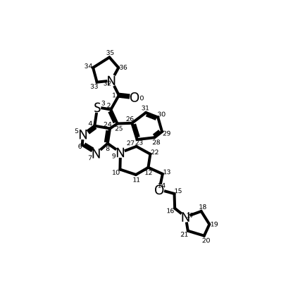 O=C(c1sc2ncnc(N3CCC(COCCN4CCCC4)CC3)c2c1-c1ccccc1)N1CCCC1